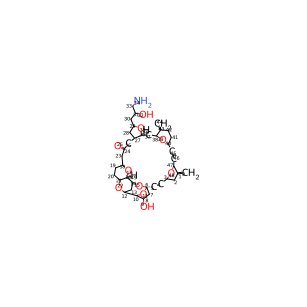 C=C1CC2CC[C@]34CC(O)C(O3)C3CC(O4)[C@H]4OC(CCC4O3)CC(=O)CC3CC(CC(O)CN)O[C@H]3CC3OC(CCC3=C)CCC1O2